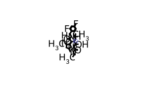 CC/C=C1/C(O)=C2C(=O)N(CC)CC3CC(NC)C(=C1C(=O)NCc1ccc(F)cc1F)N23